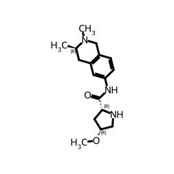 CO[C@H]1CN[C@@H](C(=O)Nc2ccc3c(c2)C[C@@H](C)N(C)C3)C1